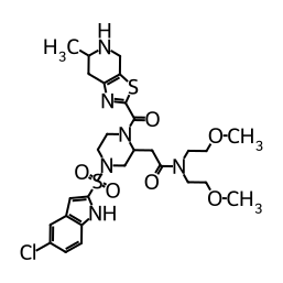 COCCN(CCOC)C(=O)CC1CN(S(=O)(=O)c2cc3cc(Cl)ccc3[nH]2)CCN1C(=O)c1nc2c(s1)CNC(C)C2